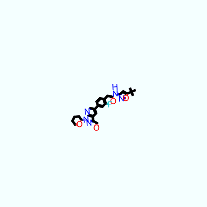 CC(C)(C)c1cc(NC(=O)Cc2ccc(-c3cnc4c(c3)c(C=O)nn4C3CCCCO3)cc2F)no1